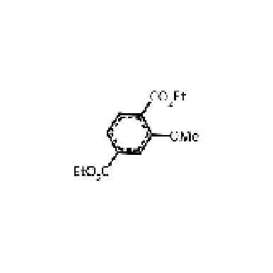 CCOC(=O)c1ccc(C(=O)OCC)c(OC)c1